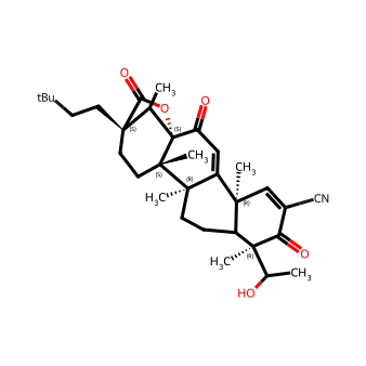 CC(O)[C@]1(C)C(=O)C(C#N)=C[C@]2(C)C3=CC(=O)[C@@]45OC(=O)[C@@](CCC(C)(C)C)(CC[C@@]4(C)[C@]3(C)CCC12)C5C